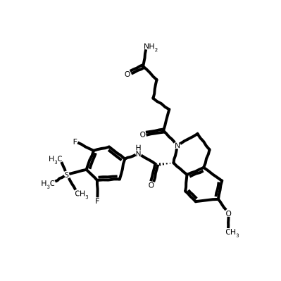 COc1ccc2c(c1)CCN(C(=O)CCCC(N)=O)[C@H]2C(=O)Nc1cc(F)c(S(C)(C)C)c(F)c1